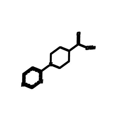 COC(=O)C1CCN(c2ccncn2)CC1